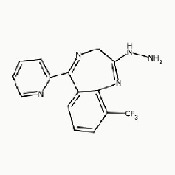 NNC1=Nc2c(cccc2C(F)(F)F)C(c2ccccn2)=NC1